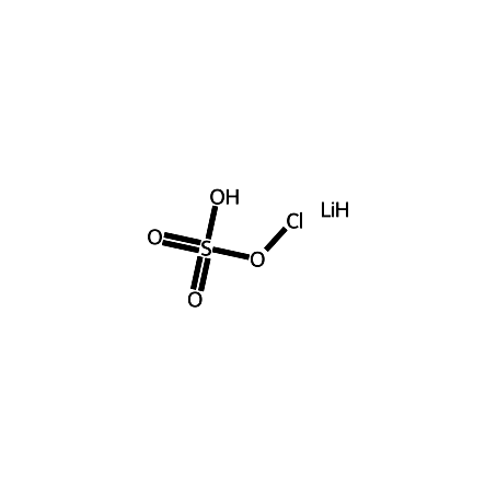 O=S(=O)(O)OCl.[LiH]